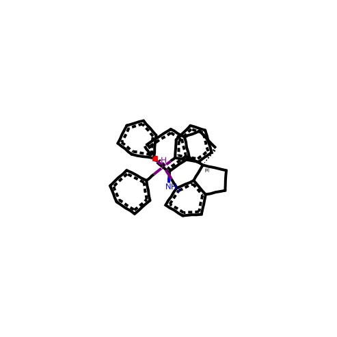 Nc1cccc2c1[C@@]1(CC2)CCc2cccc([PH](c3ccccc3)(c3ccccc3)c3ccccc3)c21